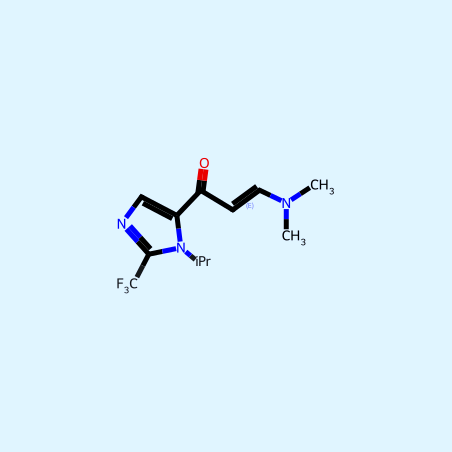 CC(C)n1c(C(=O)/C=C/N(C)C)cnc1C(F)(F)F